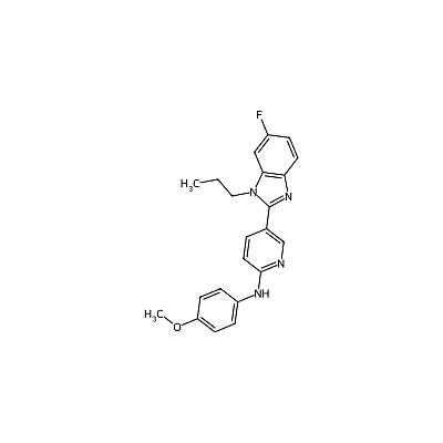 CCCn1c(-c2ccc(Nc3ccc(OC)cc3)nc2)nc2ccc(F)cc21